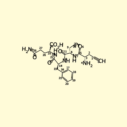 C#CC[C@H](N)C(=O)N[C@@H](CC(C)C)C(=O)N[C@@H](Cc1ccccc1)C(=O)N[C@@H](CCC(N)=O)C(=O)O